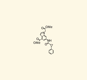 COC(=O)Cn1ccc2c(C(=O)OC)cc(NC(=O)C3CC3c3ccccc3)cc21